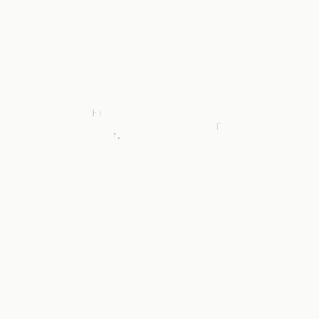 CCN1C=CC=C(C)C1.FC(F)F